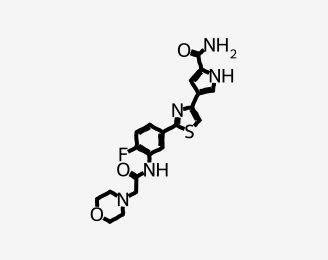 NC(=O)c1cc(-c2csc(-c3ccc(F)c(NC(=O)CN4CCOCC4)c3)n2)c[nH]1